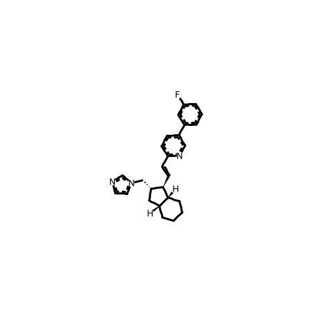 Fc1cccc(-c2ccc(C=C[C@@H]3[C@@H](Cn4ccnc4)C[C@H]4CCCC[C@H]43)nc2)c1